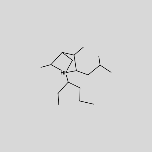 CCCC(CC)[PH]12CC(C(C)C1CC(C)C)C2C